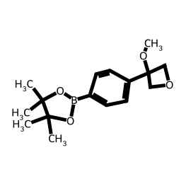 COC1(c2ccc(B3OC(C)(C)C(C)(C)O3)cc2)COC1